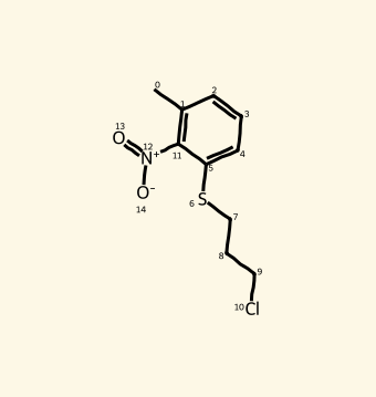 Cc1cccc(SCCCCl)c1[N+](=O)[O-]